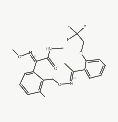 CNC(=O)/C(=N/OC)c1cccc(C)c1CO/N=C(\C)c1ccccc1OCC(F)(F)F